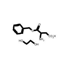 NC(CC(=O)O)C(=O)OCc1ccccc1.OCCO